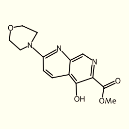 COC(=O)c1ncc2nc(N3CCOCC3)ccc2c1O